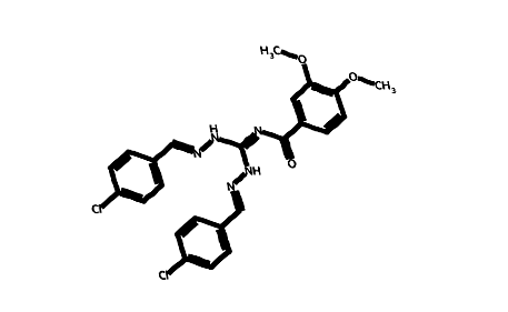 COc1ccc(C(=O)N=C(NN=Cc2ccc(Cl)cc2)NN=Cc2ccc(Cl)cc2)cc1OC